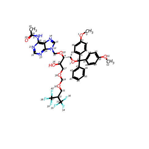 COc1ccc(C(OC[C@@H](OCn2cnc3c(NC(C)=O)ncnc32)C(O)COCOCC(C(F)(F)F)C(F)(F)F)(c2ccccc2)c2ccc(OC)cc2)cc1